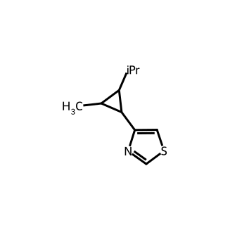 CC(C)C1C(C)C1c1cscn1